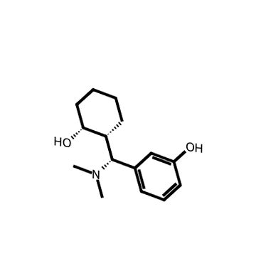 CN(C)[C@@H](c1cccc(O)c1)[C@H]1CCCC[C@H]1O